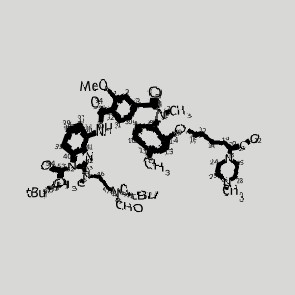 COc1cc(C(=O)N(C)c2ccc(C)cc2OCCCCC(=C=O)N2CCN(C)CC2)ccc1C(=O)Nc1cccc2c1nc(N(C)CCN(C=O)OC(C)(C)C)n2C(=O)OC(C)(C)C